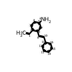 C=Cc1ccc(N)cc1/C=C/c1ccccc1